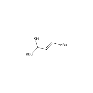 [CH2]CCCC(S)C=CCCCC